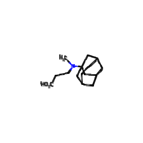 CN(CCC(=O)O)C12CC3CC(CC(C3)C1)C2